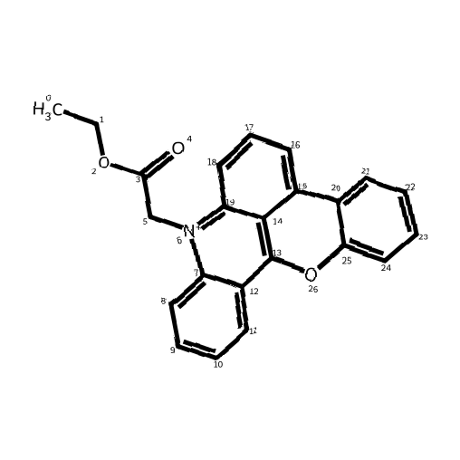 CCOC(=O)C[n+]1c2ccccc2c2c3c(cccc31)-c1ccccc1O2